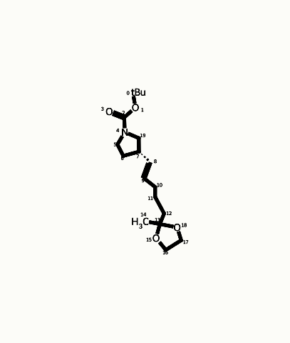 CC(C)(C)OC(=O)N1CC[C@@H](C=CCCCC2(C)OCCO2)C1